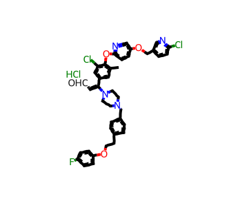 Cc1cc(/C(=C\C=O)N2CCN(Cc3ccc(CCOc4ccc(F)cc4)cc3)CC2)cc(Cl)c1Oc1ccc(OCc2ccc(Cl)nc2)cn1.Cl